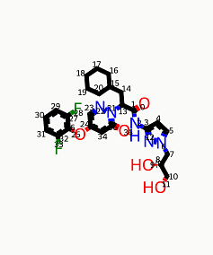 O=C(Nc1ccn(C[C@@H](O)CO)n1)C(CC1CCCCC1)n1ncc(Oc2c(F)cccc2F)cc1=O